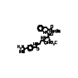 CC(C)(C)NC(=O)[C@H](Cc1ccccc1)NC(=O)[C@H](CC(=O)O)NC(=O)CCNC(=O)c1ccc(C(=N)N)cc1